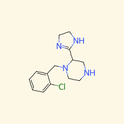 Clc1ccccc1CN1CCNCC1C1=NCCN1